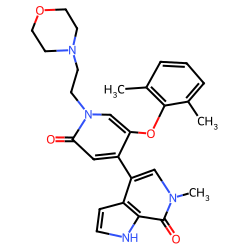 Cc1cccc(C)c1Oc1cn(CCN2CCOCC2)c(=O)cc1-c1cn(C)c(=O)c2[nH]ccc12